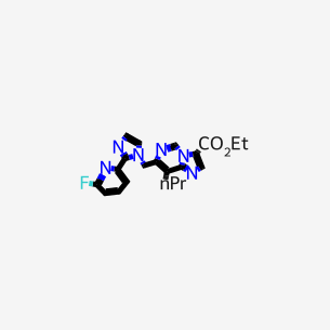 CCCc1c(Cn2ccnc2-c2cccc(F)n2)ncn2c(C(=O)OCC)cnc12